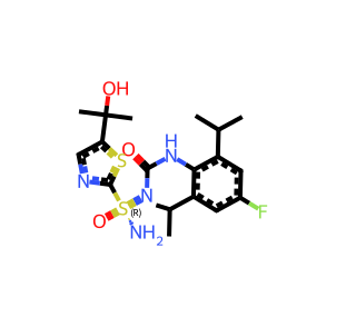 CC(C)c1cc(F)cc(C(C)C)c1NC(=O)N=[S@@](N)(=O)c1ncc(C(C)(C)O)s1